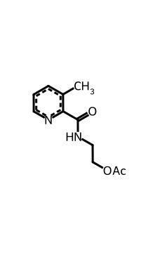 CC(=O)OCCNC(=O)c1ncccc1C